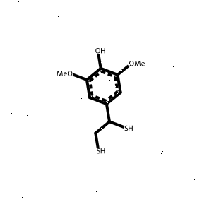 COc1cc(C(S)CS)cc(OC)c1O